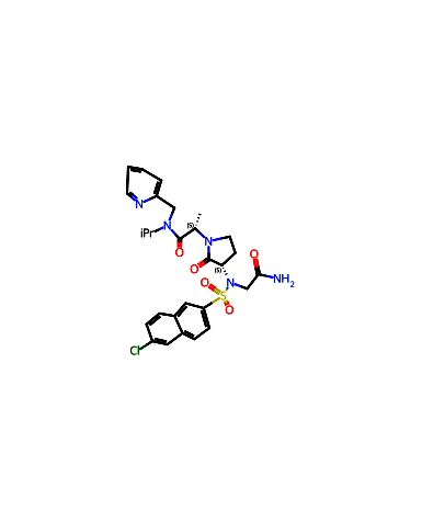 CC(C)N(Cc1ccccn1)C(=O)[C@H](C)N1CC[C@H](N(CC(N)=O)S(=O)(=O)c2ccc3cc(Cl)ccc3c2)C1=O